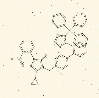 O=c1n(-c2ccccc2[N+](=O)[O-])nc(C2CC2)n1Cc1ccc(-c2ccccc2-c2nnnn2C(c2ccccc2)(c2ccccc2)c2ccccc2)cc1